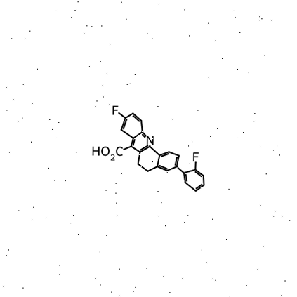 O=C(O)c1c2c(nc3ccc(F)cc13)-c1ccc(-c3ccccc3F)cc1CC2